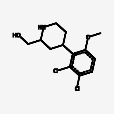 COc1ccc(Cl)c(Cl)c1C1CCNC(CO)C1